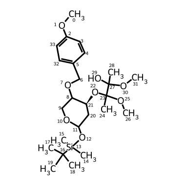 COc1ccc(COC2COC(O[Si](C)(C)C(C)(C)C)C[C@@H]2OC(C)(OC)C(C)(O)OC)cc1